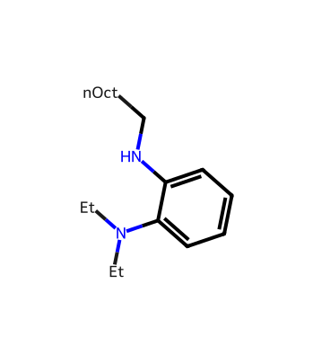 CCCCCCCCCNc1ccccc1N(CC)CC